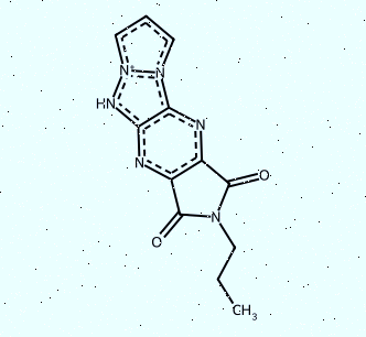 CCCN1C(=O)c2nc3[nH][n+]4cccn4c3nc2C1=O